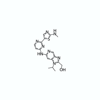 CNc1ncc(-c2nccc(Nc3cc4c(cn3)nc(CO)n4C(C)C)n2)s1